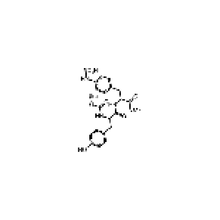 CNC(=O)C(Cc1ccc(NS(=O)(=O)O)cc1)NC(=O)C(Cc1ccc(O)cc1)NC(=O)OC(C)(C)C